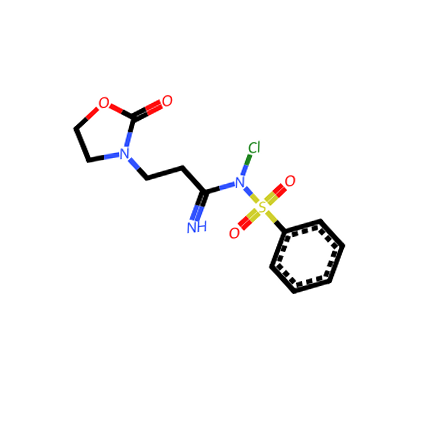 N=C(CCN1CCOC1=O)N(Cl)S(=O)(=O)c1ccccc1